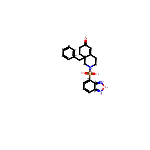 O=C1C=C2CCN(S(=O)(=O)c3cccc4nonc34)CC2(Cc2ccccc2)CC1